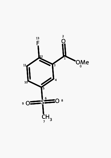 COC(=O)c1cc(S(C)(=O)=O)ccc1F